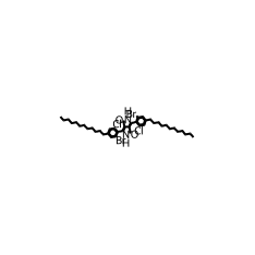 CCCCCCCCCCCCc1cc(Cl)c(C2=C3C(=O)NC(c4c(Cl)cc(CCCCCCCCCCCC)cc4Br)=C3C(=O)N2)c(Br)c1